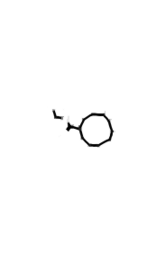 CCNC(=O)C1CCCCCCCCC1